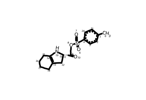 Cc1ccc(S(=O)(=O)OC(=O)[C@@H]2CC3=C(CCCC3)N2)cc1